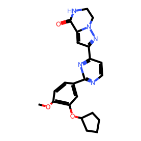 COc1ccc(-c2nccc(-c3cc4n(n3)CCNC4=O)n2)cc1OC1CCCC1